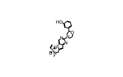 C=CS(=O)(=O)N(C)Cc1cc2nc(N3CCOC(c4cccc(O)c4)C3)ncc2s1